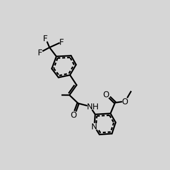 COC(=O)c1cccnc1NC(=O)C(C)=Cc1ccc(C(F)(F)F)cc1